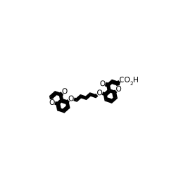 O=C(O)c1cc(=O)c2c(OCCCCCOc3cccc4occc(=O)c34)cccc2o1